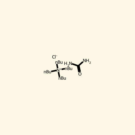 CCCC[N+](CCCC)(CCCC)CCCC.NC(N)=O.[Cl-]